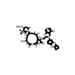 COc1ccc(N(CCSC2C(=O)O[C@@]3(C)[C@H]2[C@@H](C)C(=O)[C@H](C)C[C@@](C)(OC)[C@H](O[C@@H]2O[C@H](C)C[C@@H](OC)[C@@H]2N(C)C)[C@@H](C)[C@H](O)[C@@H](C)C(=O)O[C@@H]3I)Cc2c(Cl)cncc2Cl)cc1OC1CCCC1